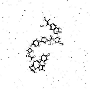 C=N/C(C)=C(\SC)c1ccc([C@H](C)NC(=O)[C@@H]2C[C@@H](O)CN2C(=O)[C@@H](C(C)C)n2cc(-c3ccc(O[C@H]4C[C@H](NC(=O)C[C@@H]5N=C(c6ccc(Cl)cc6)c6c(sc(C)c6C)-n6c(C)nnc65)C4)nc3)cn2)cc1